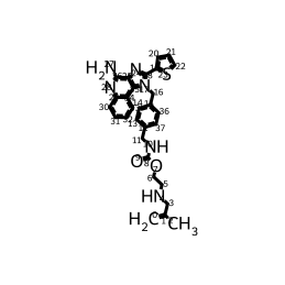 C=C(C)CNCCOC(=O)NCc1ccc(Cn2c(-c3cccs3)nc3c(N)nc4ccccc4c32)cc1